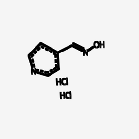 Cl.Cl.ON=Cc1ccncc1